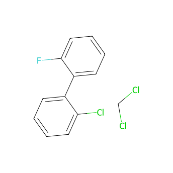 ClCCl.Fc1ccccc1-c1ccccc1Cl